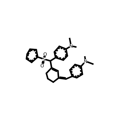 CN(C)c1ccc(C=C2C=C(C(c3ccc(N(C)C)cc3)S(=O)(=O)c3ccccc3)CCC2)cc1